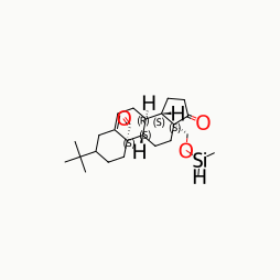 C[SiH](C)OC[C@]12CC[C@H]3[C@@H](CC=C4CC(C(C)(C)C)CC[C@@]43C=O)[C@@H]1CCC2=O